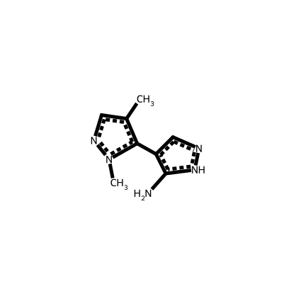 Cc1cnn(C)c1-c1cn[nH]c1N